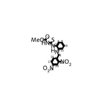 COC(=O)NC(=S)Nc1ccccc1N=Cc1ccc([N+](=O)[O-])cc1[N+](=O)[O-]